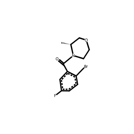 C[C@@H]1COCCN1C(=O)c1cc(F)ccc1Br